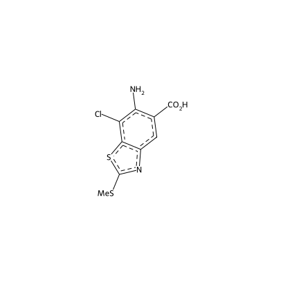 CSc1nc2cc(C(=O)O)c(N)c(Cl)c2s1